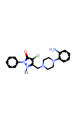 CCn1c(CN2CCN(c3ccccc3N)CC2)c(Cl)c(=O)n1-c1ccccc1